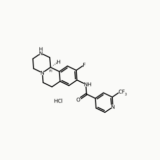 Cl.O=C(Nc1cc2c(cc1F)[C@@H]1CNCCN1CC2)c1ccnc(C(F)(F)F)c1